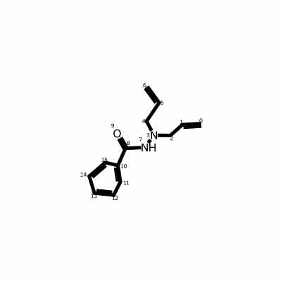 C=CCN(CC=C)NC(=O)c1ccccc1